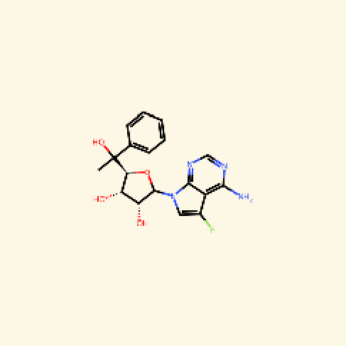 CC(O)(c1ccccc1)[C@H]1OC(n2cc(F)c3c(N)ncnc32)[C@H](O)[C@@H]1O